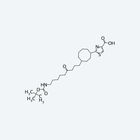 CC(C)(C)OC(=O)NCCCCCC(=O)CCCC1CCCCC(c2nc(C(=O)O)cs2)CC1